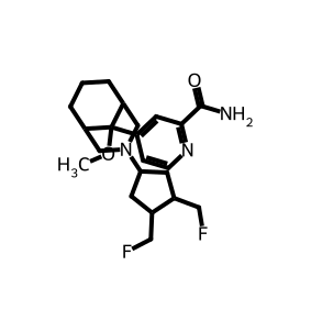 COC1(c2ccnc(C(N)=O)c2)C2CCCC1CN(C1CC(CF)C(CF)C1)C2